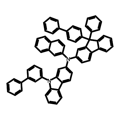 c1ccc(-c2ccc(C3(c4ccccc4)c4ccccc4-c4ccc(N(c5ccc6ccccc6c5)c5ccc6c7ccccc7n(-c7cccc(-c8ccccc8)c7)c6c5)cc43)cc2)cc1